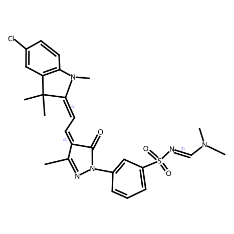 CC1=NN(c2cccc(S(=O)(=O)/N=C/N(C)C)c2)C(=O)/C1=C\C=C1\N(C)c2ccc(Cl)cc2C1(C)C